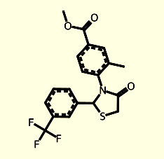 COC(=O)c1ccc(N2C(=O)CSC2c2cccc(C(F)(F)F)c2)c(C)c1